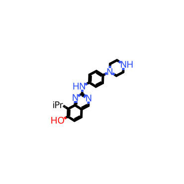 CC(C)c1c(O)ccc2cnc(Nc3ccc(N4CCNCC4)cc3)nc12